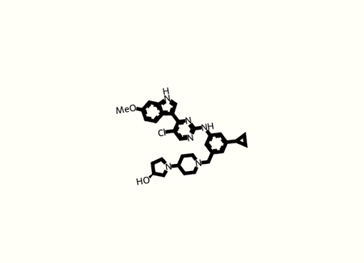 COc1ccc2c(-c3nc(Nc4cc(CN5CCC(N6CC[C@H](O)C6)CC5)cc(C5CC5)c4)ncc3Cl)c[nH]c2c1